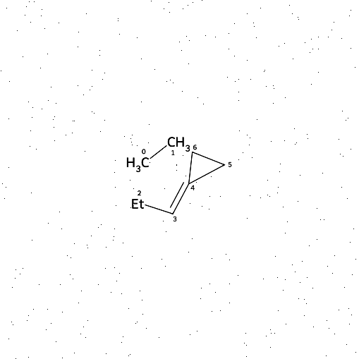 CC.CCC=C1CC1